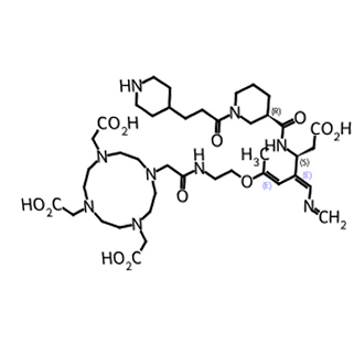 C=N/C=C(\C=C(/C)OCCNC(=O)CN1CCN(CC(=O)O)CCN(CC(=O)O)CCN(CC(=O)O)CC1)[C@H](CC(=O)O)NC(=O)[C@@H]1CCCN(C(=O)CCC2CCNCC2)C1